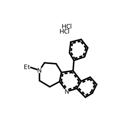 CCN1CCc2nc3ccccc3c(-c3ccccc3)c2CC1.Cl.Cl